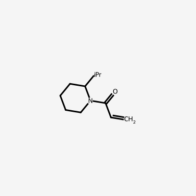 C=CC(=O)N1CCCCC1C(C)C